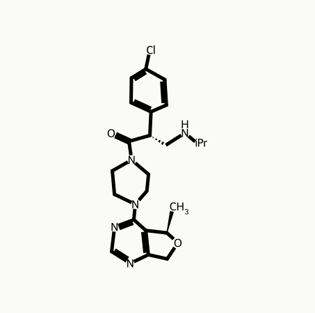 CC(C)NC[C@H](C(=O)N1CCN(c2ncnc3c2[C@@H](C)OC3)CC1)c1ccc(Cl)cc1